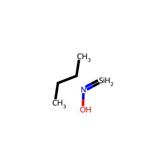 CCCC.ON=[SiH2]